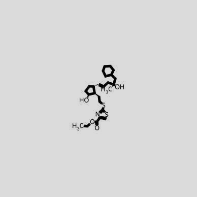 CCOC(=O)c1csc(SCC[C@H]2[C@@H](O)CC[C@@H]2/C=C/C[C@@](C)(O)CC2CCCCC2)n1